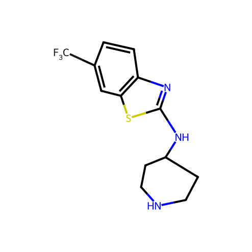 FC(F)(F)c1ccc2nc(NC3CCNCC3)sc2c1